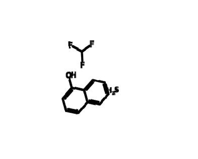 FC(F)F.Oc1cccc2ccccc12.S